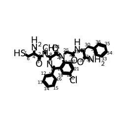 CN(C(=O)C(N)CS)C1N=C(c2ccccc2)c2cc(Cl)ccc2N(CC(=O)N[C@@H](Cc2ccccc2)C(N)=O)C1=O